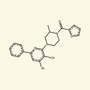 CC(C)c1cc(-c2ccccc2)nc(N2CCN(C(=O)c3ccco3)C(C)C2)c1C#N